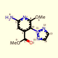 COC(=O)c1cc(N)nc(OC)c1-n1nccn1